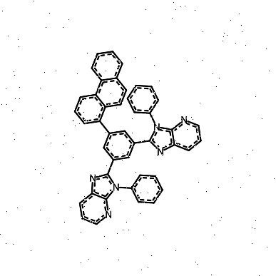 c1ccc(-n2c(-c3cc(-c4cccc5c4ccc4ccccc45)cc(-c4nc5cccnc5n4-c4ccccc4)c3)nc3cccnc32)cc1